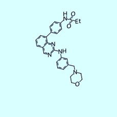 CCS(=O)(=O)Nc1ccc(-c2cccc3cnc(Nc4cccc(CN5CCOCC5)c4)nc23)cc1